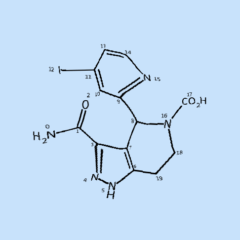 NC(=O)c1n[nH]c2c1C(c1cc(I)ccn1)N(C(=O)O)CC2